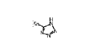 [Sn][c]1nnn[nH]1